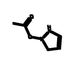 CC(=O)ON1CC=CN1